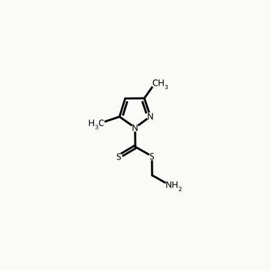 Cc1cc(C)n(C(=S)SCN)n1